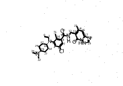 CCN(c1cc(Cl)cc(C(=O)NCc2c(C)cc3nc[nH]n3c2=O)c1C)[C@H]1CC[C@H](N(C)C)CC1